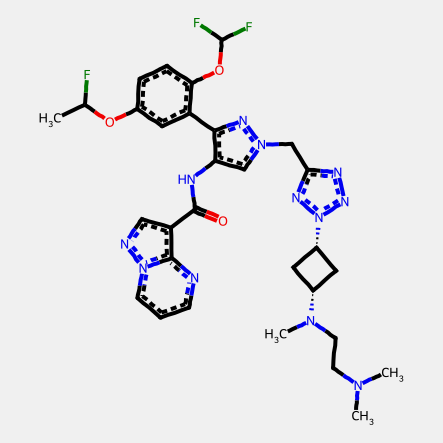 CC(F)Oc1ccc(OC(F)F)c(-c2nn(Cc3nnn([C@H]4C[C@@H](N(C)CCN(C)C)C4)n3)cc2NC(=O)c2cnn3cccnc23)c1